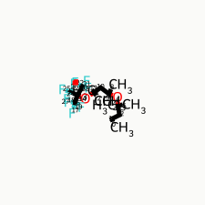 CCCC(C)(C)OC(C)(C)CC(C)(C)OC(C(F)(F)F)(C(F)(F)F)C(F)(F)F